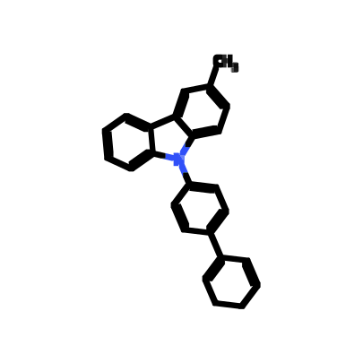 Cc1ccc2c(c1)c1ccccc1n2-c1ccc(C2=CCCC=C2)cc1